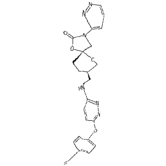 O=C1O[C@]2(CC[C@H](CNc3ccc(Oc4ccc(F)cc4)nn3)CC2)CN1c1cccnn1